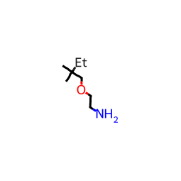 CCC(C)(C)COCCN